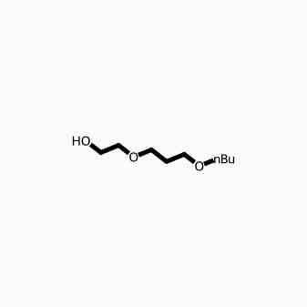 [CH2]CCCOCCCOCCO